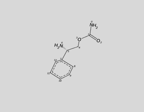 NC(=O)OC[C@@H](N)c1ccccc1